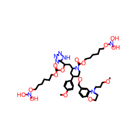 COCCCN1CCOc2ccc(COC3CN(C(=O)OCCCCCCON(O)O)C(CC(OC(=O)OCCCCCCON(O)O)c4nnn[nH]4)CC3c3ccc(OC)cc3)cc21